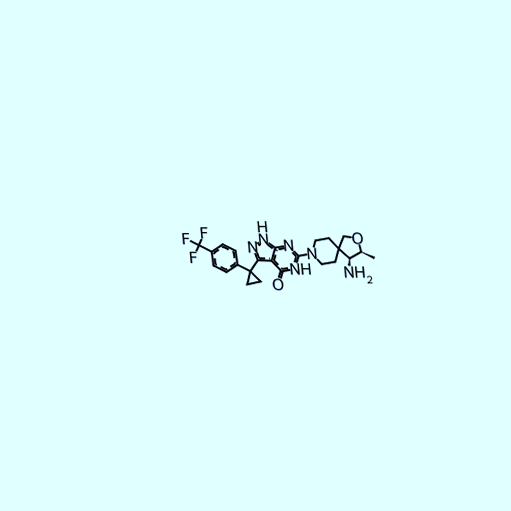 C[C@@H]1OCC2(CCN(c3nc4[nH]nc(C5(c6ccc(C(F)(F)F)cc6)CC5)c4c(=O)[nH]3)CC2)[C@@H]1N